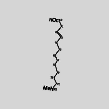 CCCCCCCCCC=CCCCCCCCCNC